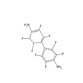 NC1=C(F)C(F)=C(c2c(F)c(F)c(N)c(F)c2F)C(F)C1F